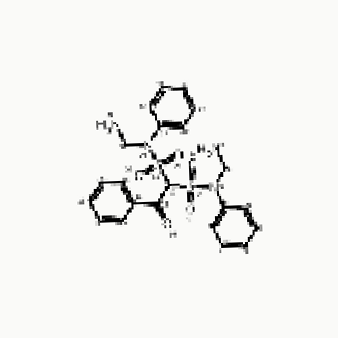 NCN(c1ccccc1)S(=O)(=O)C(C(=O)c1ccccc1)S(=O)(=O)N(CN)c1ccccc1